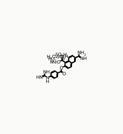 COC(=O)c1c(OC(=O)c2ccc(NC(=N)N)cc2)ccc2cc(C(=N)N)ccc12.CS(=O)(=O)O.CS(=O)(=O)O